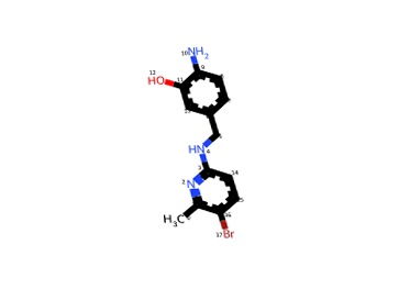 Cc1nc(NCc2ccc(N)c(O)c2)ccc1Br